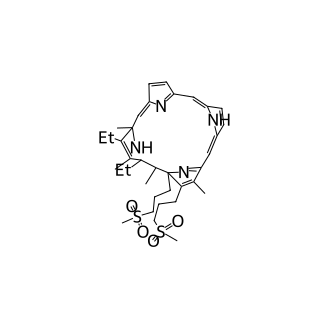 CCC1=C(C)C2(CC)NC1(C)C=C1C=CC(=N1)C=c1ccc([nH]1)=CC1=NC(CCCS(C)(=O)=O)(C(CCCS(C)(=O)=O)=C1C)C2C